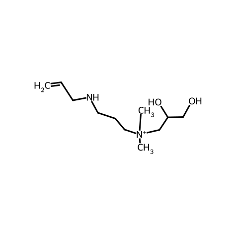 C=CCNCCC[N+](C)(C)CC(O)CO